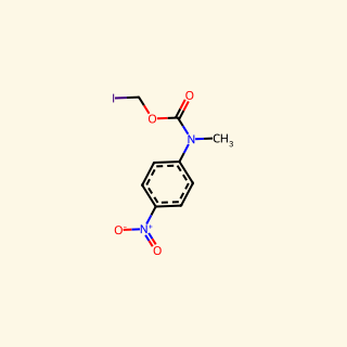 CN(C(=O)OCI)c1ccc([N+](=O)[O-])cc1